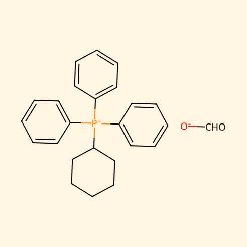 O=C[O-].c1ccc([P+](c2ccccc2)(c2ccccc2)C2CCCCC2)cc1